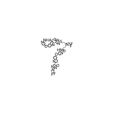 CC(=O)Nc1cc(Oc2ccc3nc(-c4cnc(SCCC5C(CCC(=O)Nc6cc(Oc7ccc8nc(-c9cnc(N%10CCC(F)(F)C%10)n(C)c9=O)ccc8c7)ccn6)[N+]56CCC(F)(F)C6)n(C)c4=O)ccc3c2)ccn1